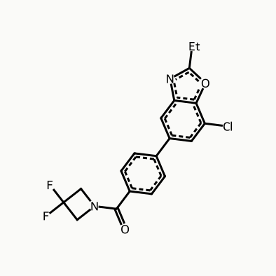 CCc1nc2cc(-c3ccc(C(=O)N4CC(F)(F)C4)cc3)cc(Cl)c2o1